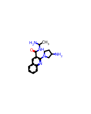 CC(N)NC(=O)c1cc2ccccc2nc1N1CCC(N)C1